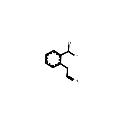 C=CCc1ccccc1[C](CC)CC